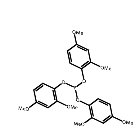 COc1ccc(OP(Oc2ccc(OC)cc2OC)Oc2ccc(OC)cc2OC)c(OC)c1